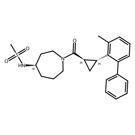 Cc1cccc(-c2ccccc2)c1[C@@H]1C[C@H]1C(=O)N1CCC[C@@H](NS(C)(=O)=O)CC1